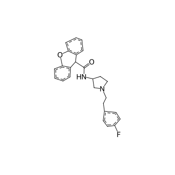 O=C(NC1CCN(CCc2ccc(F)cc2)C1)C1c2ccccc2Oc2ccccc21